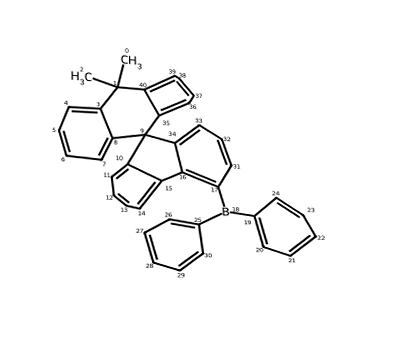 CC1(C)c2ccccc2C2(c3ccccc3-c3c(B(c4ccccc4)c4ccccc4)cccc32)c2ccccc21